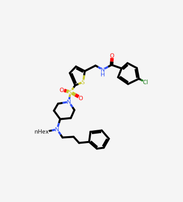 CCCCCCN(CCCc1ccccc1)C1CCN(S(=O)(=O)c2ccc(CNC(=O)c3ccc(Cl)cc3)s2)CC1